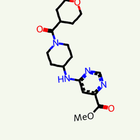 COC(=O)c1cc(NC2CCN(C(=O)C3CCOCC3)CC2)ncn1